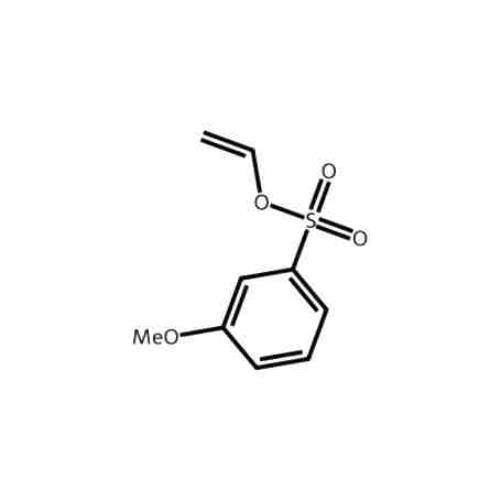 C=COS(=O)(=O)c1cccc(OC)c1